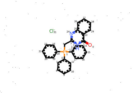 O=c1[nH]c(C[P+](c2ccccc2)(c2ccccc2)c2ccccc2)nc2ccccc12.[Cl-]